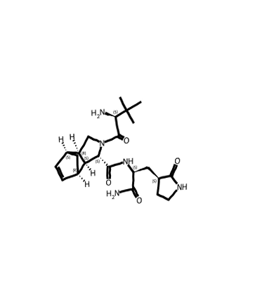 CC(C)(C)[C@H](N)C(=O)N1C[C@H]2[C@@H]([C@H]1C(=O)N[C@@H](C[C@@H]1CCNC1=O)C(N)=O)[C@H]1C=C[C@@H]2C1